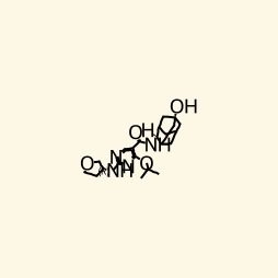 CC(C)Oc1nc(N[C@@H]2CCOC2)ncc1C(=O)N[C@H]1C2CC3CC1C[C@@](O)(C3)C2